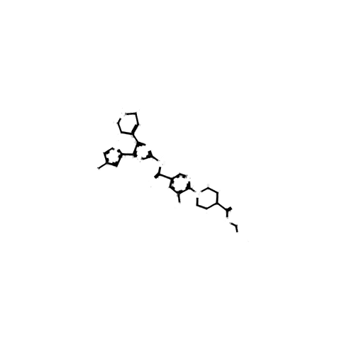 CCOC(=O)C1CCN(c2ncc(C(=O)Nc3nc(-c4cc(Cl)cs4)c(C4=CCNCC4)s3)cc2Cl)CC1